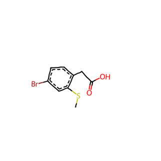 CSc1cc(Br)ccc1CC(=O)O